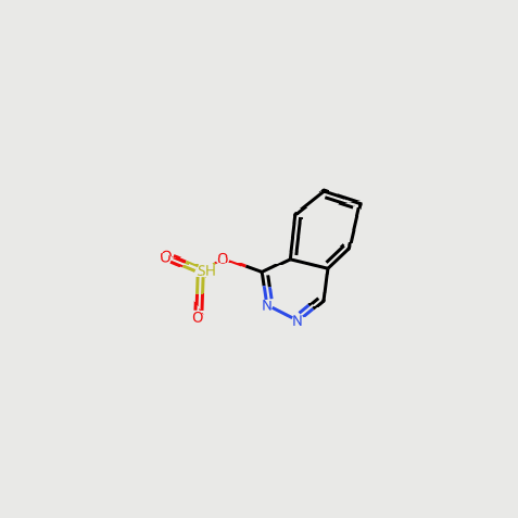 O=[SH](=O)Oc1nncc2ccccc12